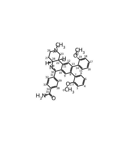 COc1ccccc1-c1cc2c(cc1-c1ccccc1OC)[C@H]1CN(C)CC[C@H]1N=C2c1ccc(C(N)=O)cc1